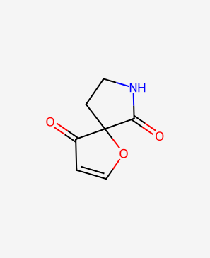 O=C1C=COC12CCNC2=O